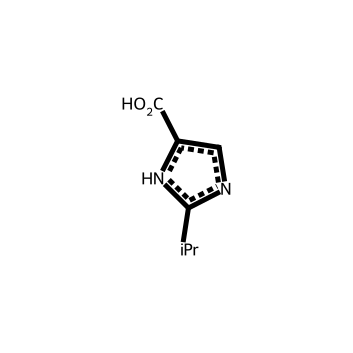 CC(C)c1ncc(C(=O)O)[nH]1